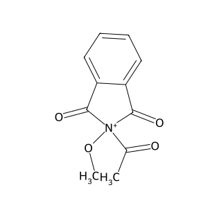 CO[N+]1(C(C)=O)C(=O)c2ccccc2C1=O